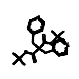 CC(C)(C)OC(=O)C(Cc1ccncc1)(Cc1ccncc1)C(=O)OC(C)(C)C